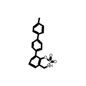 Cc1ccc(-c2ccc(-c3cccc4c3OS(=O)(=O)NC4)cc2)cc1